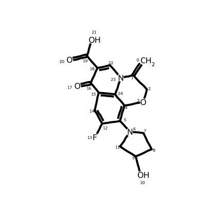 C=C1COc2c(N3CCC(O)C3)c(F)cc3c(=O)c(C(=O)O)cn1c23